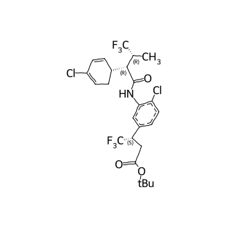 C[C@H]([C@H](C(=O)Nc1cc([C@H](CC(=O)OC(C)(C)C)C(F)(F)F)ccc1Cl)C1C=CC(Cl)=CC1)C(F)(F)F